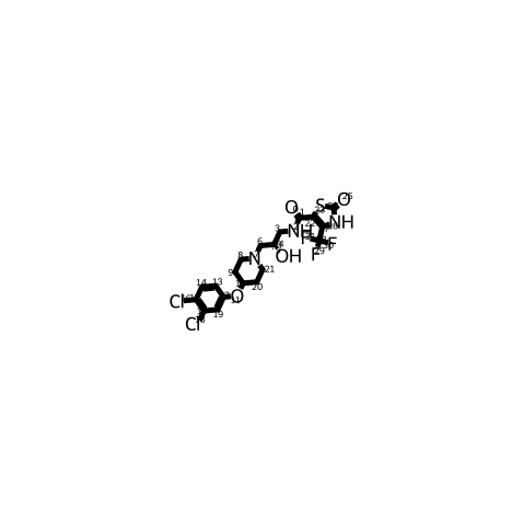 O=C(NC[C@@H](O)CN1CCC(Oc2ccc(Cl)c(Cl)c2)CC1)c1sc(=O)[nH]c1C(F)(F)F